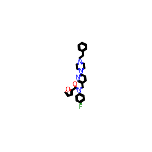 O=C(c1ccco1)N(Cc1ccc(N2CCN(CCc3ccccc3)CC2)nc1)c1ccc(F)cc1